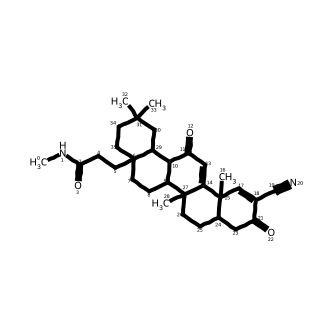 CNC(=O)CCC12CCC3C(C(=O)C=C4C5(C)C=C(C#N)C(=O)CC5CCC43C)C1CC(C)(C)CC2